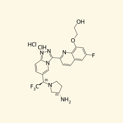 Cl.Cl.N[C@H]1CCN([C@H](c2ccc3nnc(-c4ccc5cc(F)cc(OCCO)c5n4)n3c2)C(F)(F)F)C1